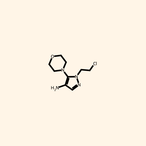 Nc1cnn(CCCl)c1N1CCOCC1